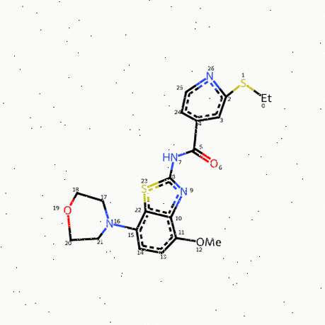 CCSc1cc(C(=O)Nc2nc3c(OC)ccc(N4CCOCC4)c3s2)ccn1